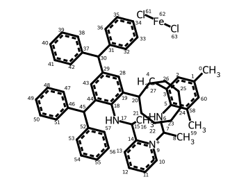 Cc1cc(C)c(NC(C)[n+]2ccccc2C(C)Nc2c(C3CCCCCCC3)cc(C(c3ccccc3)c3ccccc3)cc2C(c2ccccc2)c2ccccc2)c(C)c1.[Cl][Fe][Cl]